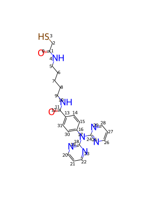 O=C(CS)NCCCCCNC(=O)c1ccc(N(c2ncccn2)c2ncccn2)cc1